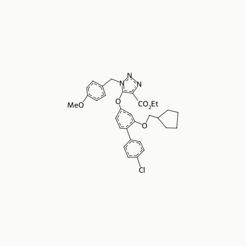 CCOC(=O)c1nnn(Cc2ccc(OC)cc2)c1Oc1ccc(-c2ccc(Cl)cc2)c(OCC2CCCC2)c1